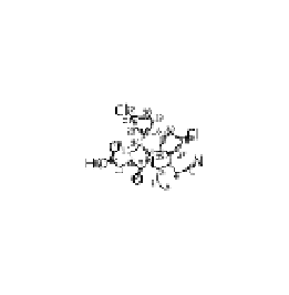 CCC(CCC#N)N1C(=O)[C@@H](CC(=O)O)C[C@H](c2cccc(Cl)c2)[C@H]1c1ccc(Cl)cc1